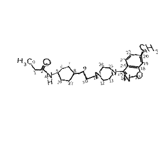 CCC(=O)NC1CCC(CCN2CCN(c3noc4cc(C)ccc34)CC2)CC1